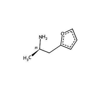 C[C@@H](N)Cc1ccco1